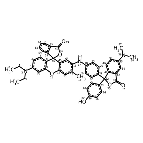 CCN(CC)c1ccc2c(c1)Oc1cc(C)c(Nc3ccc(C4(c5ccc(O)cc5)OC(=O)c5cc(N(C)C)ccc54)cc3)cc1C21OC(=O)c2ccccc21